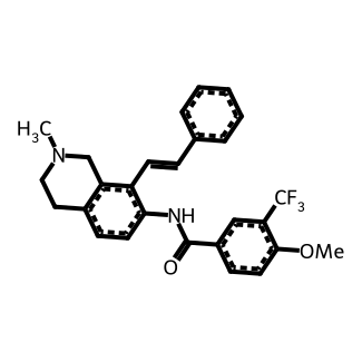 COc1ccc(C(=O)Nc2ccc3c(c2/C=C/c2ccccc2)CN(C)CC3)cc1C(F)(F)F